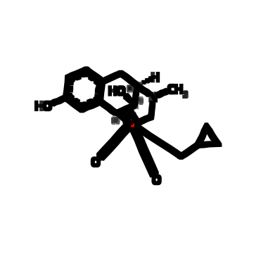 CN1CC[C@]23CC(=O)NC(=O)N(CC4CC4)CC[C@@]2(O)[C@H]1Cc1ccc(O)cc13